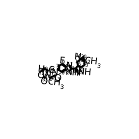 C[C@H](C(=O)N(C)c1cc(F)c2nc(-c3n[nH]c4c3C[C@@H]3C[C@]3(C)C4)[nH]c2c1)N1CCCOC1=O